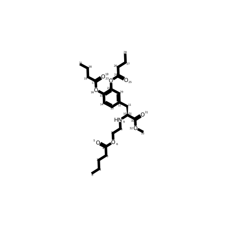 CCCCC(=O)OCCN[C@@H](Cc1ccc(OC(=O)CCC)c(OC(=O)CCC)c1)C(=O)OC